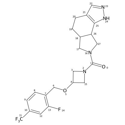 O=C(N1CC(OCc2ccc(C(F)(F)F)cc2F)C1)N1CC2CCc3cn[nH]c3C2C1